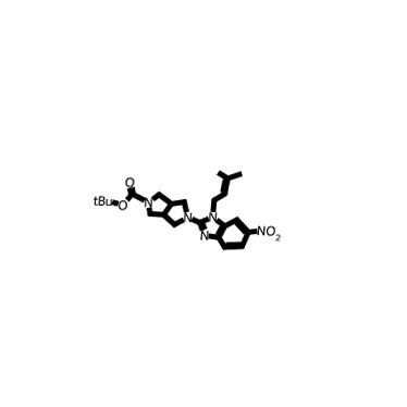 CC(C)=CCn1c(N2CC3CN(C(=O)OC(C)(C)C)CC3C2)nc2ccc([N+](=O)[O-])cc21